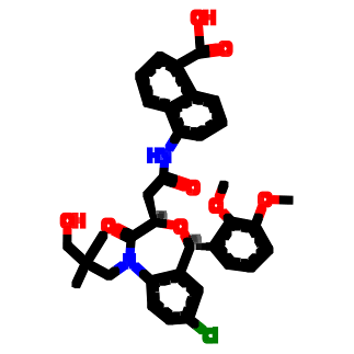 COc1cccc([C@H]2O[C@H](CC(=O)Nc3cccc4c(C(=O)O)cccc34)C(=O)N(CC(C)(C)CO)c3ccc(Cl)cc32)c1OC